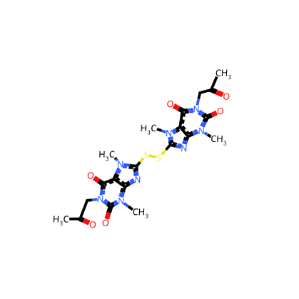 CC(=O)Cn1c(=O)c2c(nc(SSc3nc4c(c(=O)n(CC(C)=O)c(=O)n4C)n3C)n2C)n(C)c1=O